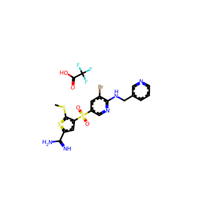 CSc1sc(C(=N)N)cc1S(=O)(=O)c1cnc(NCc2cccnc2)c(Br)c1.O=C(O)C(F)(F)F